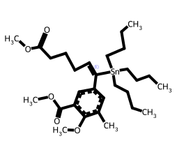 CCC[CH2][Sn]([CH2]CCC)([CH2]CCC)/[C](=C/CCCC(=O)OC)c1cc(C)c(OC)c(C(=O)OC)c1